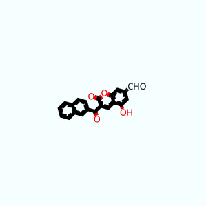 O=Cc1cc(O)c2cc(C(=O)c3ccc4ccccc4c3)c(=O)oc2c1